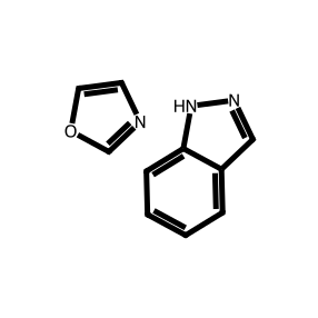 c1ccc2[nH]ncc2c1.c1cocn1